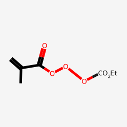 C=C(C)C(=O)OOOC(=O)OCC